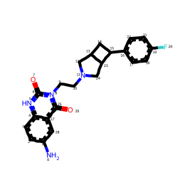 Nc1ccc2[nH]c(=O)n(CCN3CC4CC(c5ccc(F)cc5)C4C3)c(=O)c2c1